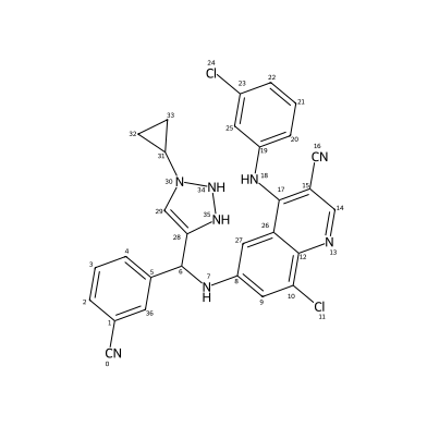 N#Cc1cccc(C(Nc2cc(Cl)c3ncc(C#N)c(Nc4cccc(Cl)c4)c3c2)C2=CN(C3CC3)NN2)c1